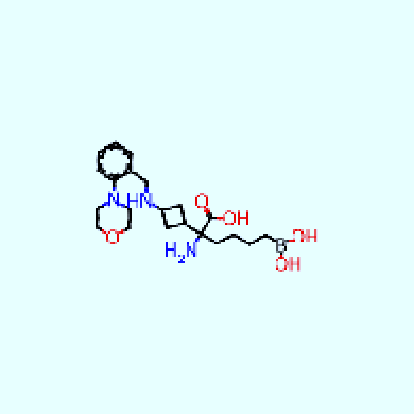 NC(CCCCB(O)O)(C(=O)O)C1CC(NCc2ccccc2N2CCOCC2)C1